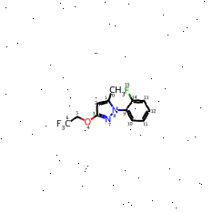 Cc1cc(OCC(F)(F)F)nn1-c1ccccc1F